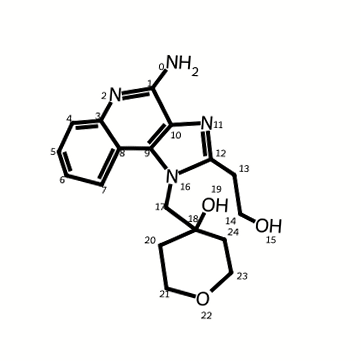 Nc1nc2ccccc2c2c1nc(CCO)n2CC1(O)CCOCC1